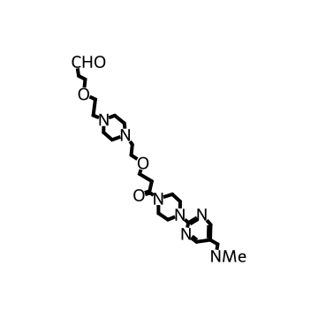 CNCc1cnc(N2CCN(C(=O)CCOCCN3CCN(CCOCCC=O)CC3)CC2)nc1